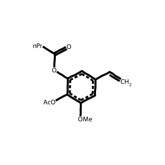 C=Cc1cc(OC)c(OC(C)=O)c(OC(=O)CCC)c1